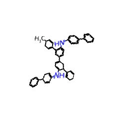 CC1C=CC(c2cc(C3=CC=C(NC4=CCC(c5ccccc5)C=C4)C(C4=CCCC=C4)C3)ccc2Nc2ccc(-c3ccccc3)cc2)=CC1